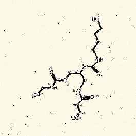 CC(C)(C)CCCCNC(=O)OC(COC(=O)NCC(C)(C)C)COC(=O)NCC(C)(C)C